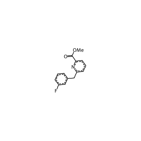 COC(=O)c1cccc(Cc2cccc(F)c2)n1